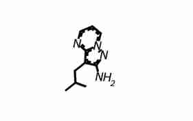 CC(C)Cc1c(N)nn2cccnc12